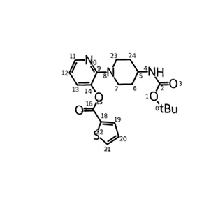 CC(C)(C)OC(=O)NC1CCN(c2ncccc2OC(=O)c2cccs2)CC1